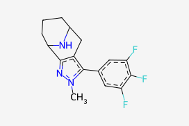 Cn1nc2c(c1-c1cc(F)c(F)c(F)c1)CC1CCCC2N1